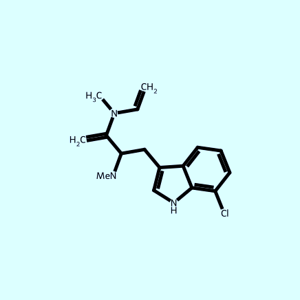 C=CN(C)C(=C)C(Cc1c[nH]c2c(Cl)cccc12)NC